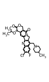 CC1CCN(Cc2c3c(nc4cc(Cl)c(F)cc24)-c2cc4c(c(=O)n2C3)COC(=O)[C@H]4OC(C)C)CC1